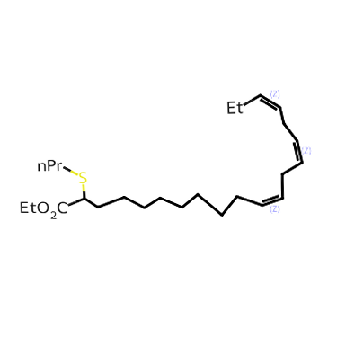 CC/C=C\C/C=C\C/C=C\CCCCCCCCC(SCCC)C(=O)OCC